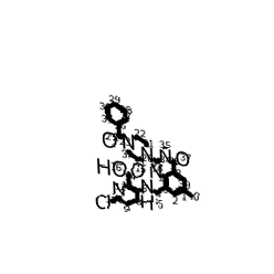 Cc1cc([C@H](C)Nc2ccc(Cl)nc2C(=O)O)c2nc(N3CCN(C(=O)c4ccccc4)CC3)n(C)c(=O)c2c1